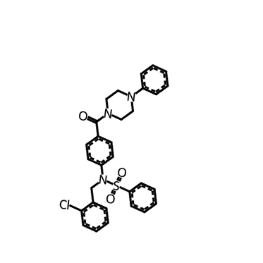 O=C(c1ccc(N(Cc2ccccc2Cl)S(=O)(=O)c2ccccc2)cc1)N1CCN(c2ccccc2)CC1